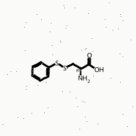 N[C@@H](CSSc1ccccc1)C(=O)O